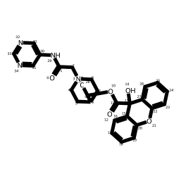 O=C(C[N+]12CCC(CC1)C(OC(=O)C1(O)c3ccccc3Oc3ccccc31)C2)Nc1cncnc1